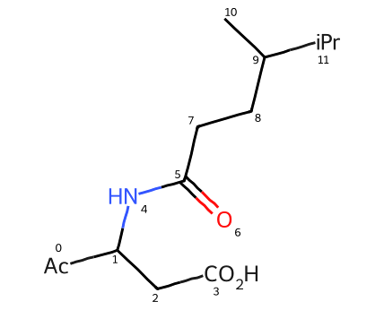 CC(=O)C(CC(=O)O)NC(=O)CCC(C)C(C)C